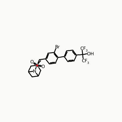 CS(=O)(=O)N1C2CC1CN(Cc1ccc(-c3ccc(C(O)(C(F)(F)F)C(F)(F)F)cc3)c(Br)c1)C2